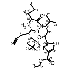 C#CCCCON(C(=O)[C@@H](N)[C@@H](C)CC)[C@H](CC(O[Si](C)(C)C(C)(C)C)c1nc(C(=O)OCC)cs1)C(C)C